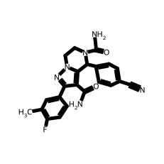 Cc1cc(-c2nn3c(c2C(N)=O)C(c2ccc(C#N)cc2)N(C(N)=O)CC3)ccc1F